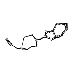 C#CCN1CCN(c2nc3ccccc3s2)CC1